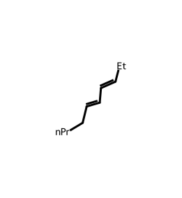 CC/C=C/C=C/CCCC